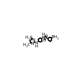 Bc1cccc(S(=O)(=O)Nc2ccc(Nc3nc(C)cc(C)n3)cc2)c1